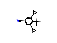 CC(C)(C)c1c(C2CC2)cc(C#N)cc1C1CC1